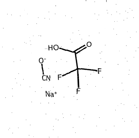 N#C[O-].O=C(O)C(F)(F)F.[Na+]